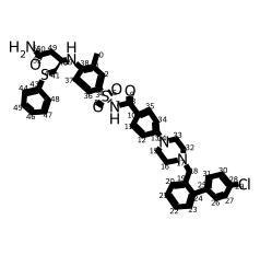 Cc1cc(S(=O)(=O)NC(=O)c2ccc(N3CCN(Cc4ccccc4-c4ccc(Cl)cc4)CC3)cc2)ccc1N[C@@H](CSc1ccccc1)CC(N)=O